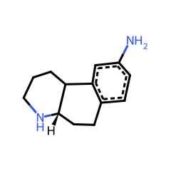 Nc1ccc2c(c1)C1CCCN[C@H]1CC2